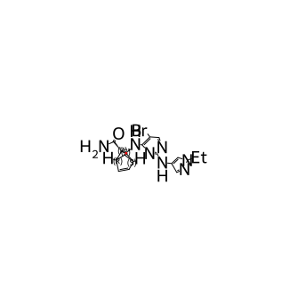 CCn1cc(Nc2ncc(Br)c(N[C@@H]3[C@H](C(N)=O)[C@H]4C=C[C@@H]3C4)n2)cn1